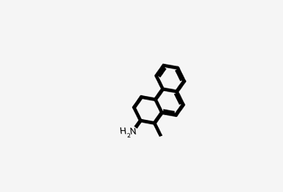 CC1C2=CC=C3C=CC=CC3C2CCC1N